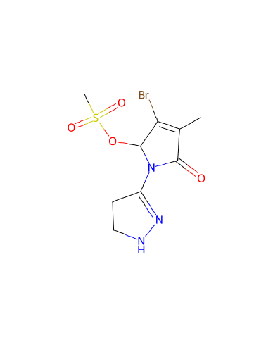 CC1=C(Br)C(OS(C)(=O)=O)N(C2=NNCC2)C1=O